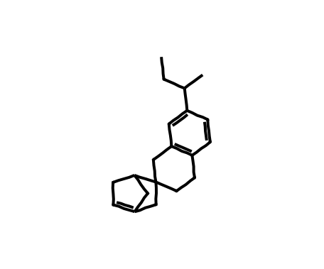 CCC(C)c1ccc2c(c1)CC1(CC2)CC2=CCC1C2